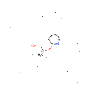 C[C@H](CO)Oc1ccccn1